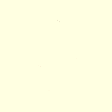 CC(C)C(=O)C(N)C(O)c1cccnc1